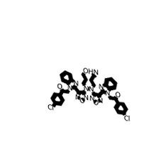 N#CCCN(c1nonc1-c1nc2ccccc2n1CC(=O)c1ccc(Cl)cc1)N(CCCO)c1nonc1-c1nc2ccccc2n1CC(=O)c1ccc(Cl)cc1